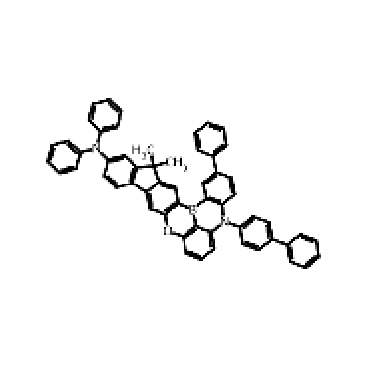 CC1(C)c2cc(N(c3ccccc3)c3ccccc3)ccc2-c2cc3c(cc21)B1c2cc(-c4ccccc4)ccc2N(c2ccc(-c4ccccc4)cc2)c2cccc(c21)O3